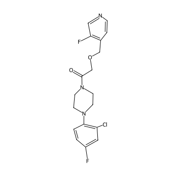 O=C(COCc1ccncc1F)N1CCN(c2ccc(F)cc2Cl)CC1